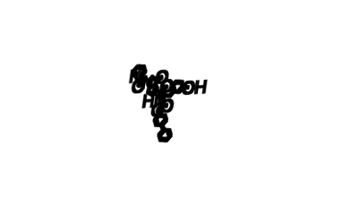 O=C(NC(Cc1cccc(O)c1)C(=O)N1CCC2C1C(=O)CN2C(=O)c1ccccn1)Oc1ccc(-c2ccccc2)cc1